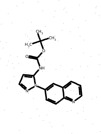 CC(C)(C)OC(=O)Nc1ccnn1-c1ccc2ncccc2c1